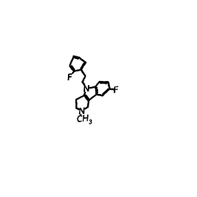 CN1CCc2c(c3cc(F)ccc3n2CCc2ccccc2F)C1